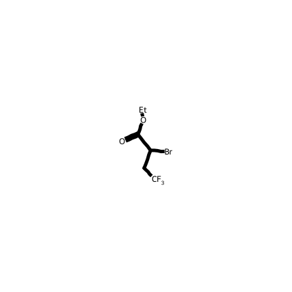 CCOC(=O)C(Br)CC(F)(F)F